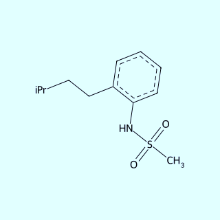 CC(C)CCc1ccccc1NS(C)(=O)=O